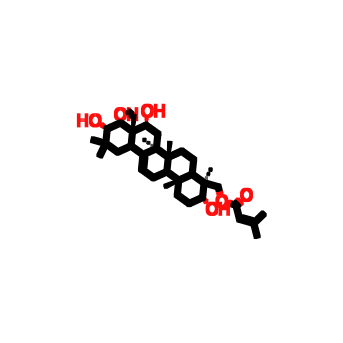 CC[C@@]12C(CC(C)(C)[C@@H](O)[C@@H]1O)C1=CCC3[C@@]4(C)CC[C@H](O)[C@](C)(COC(=O)C=C(C)C)C4CC[C@@]3(C)[C@]1(C)C[C@H]2O